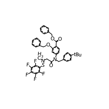 CN(CC(=O)N(Cc1ccc(C(C)(C)C)cc1)c1ccc(C(=O)OCc2ccccc2)c(OCc2ccccc2)c1)Sc1c(F)c(F)c(F)c(F)c1F